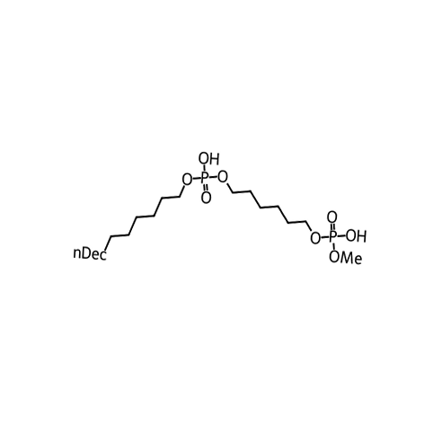 CCCCCCCCCCCCCCCCOP(=O)(O)OCCCCCCOP(=O)(O)OC